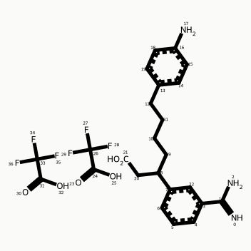 N=C(N)c1cccc(C(CCCCc2ccc(N)cc2)CC(=O)O)c1.O=C(O)C(F)(F)F.O=C(O)C(F)(F)F